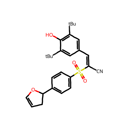 CC(C)(C)c1cc(C=C(C#N)S(=O)(=O)c2ccc(C3CC=CO3)cc2)cc(C(C)(C)C)c1O